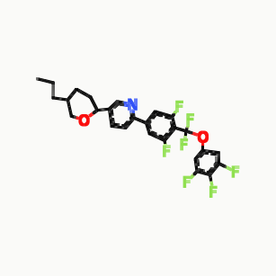 CCCC1CCC(c2ccc(-c3cc(F)c(C(F)(F)Oc4cc(F)c(F)c(F)c4)c(F)c3)nc2)OC1